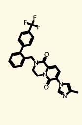 Cc1cn(-c2ccc3n(c2=O)CCN(Cc2ccccc2-c2ccc(C(F)(F)F)cc2)C3=O)cn1